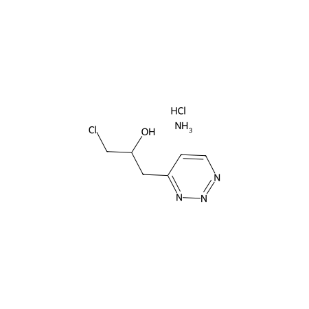 Cl.N.OC(CCl)Cc1ccnnn1